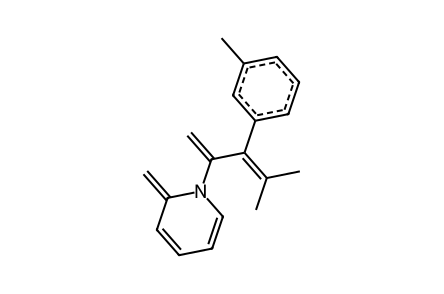 C=C1C=CC=CN1C(=C)C(=C(C)C)c1cccc(C)c1